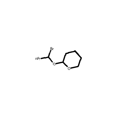 CCCC(Br)OC1CCCCO1